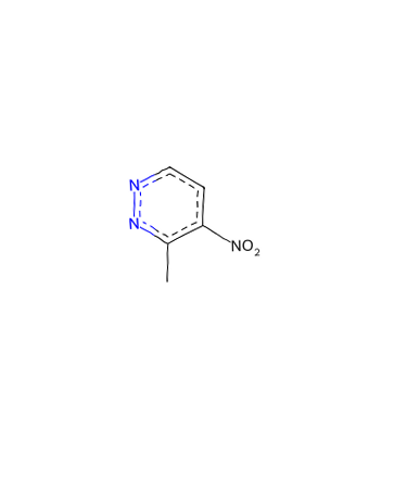 Cc1nnccc1[N+](=O)[O-]